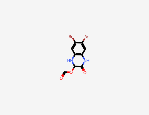 O=COC1Nc2cc(Br)c(Br)cc2NC1=O